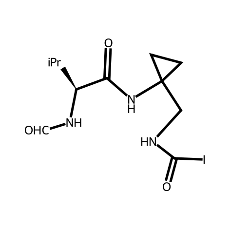 CC(C)[C@H](NC=O)C(=O)NC1(CNC(=O)I)CC1